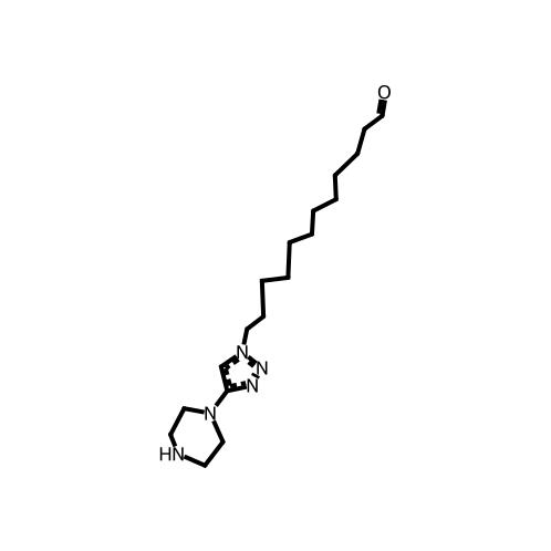 O=CCCCCCCCCCCCn1cc(N2CCNCC2)nn1